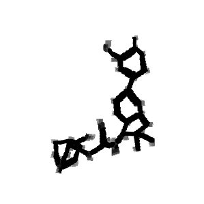 Cc1ccc(-c2ccc3c(c2)CC(C)(C)[C@H]3NC(=O)O[C@@H]2CN3CCC2CC3)cc1Cl